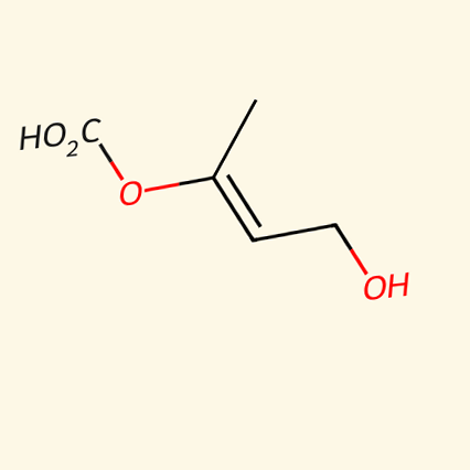 C/C(=C\CO)OC(=O)O